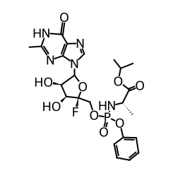 Cc1nc2c(ncn2C2O[C@](F)(CO[P@@](=O)(N[C@@H](C)C(=O)OC(C)C)Oc3ccccc3)[C@@H](O)[C@H]2O)c(=O)[nH]1